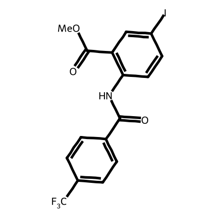 COC(=O)c1cc(I)ccc1NC(=O)c1ccc(C(F)(F)F)cc1